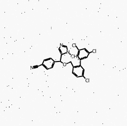 Cn1cncc1C(OCc1ccc(Cl)cc1-c1cc(Cl)cc(Cl)c1)c1ccc(C#N)cc1